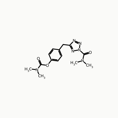 CN(C)C(=O)Oc1ccc(Cc2nnn(C(=O)N(C)C)n2)cc1